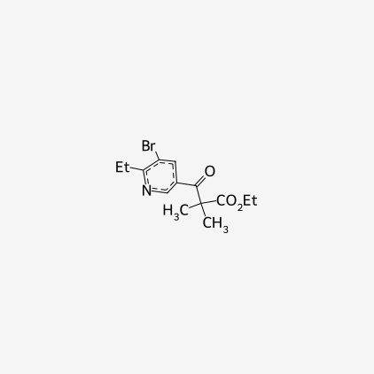 CCOC(=O)C(C)(C)C(=O)c1cnc(CC)c(Br)c1